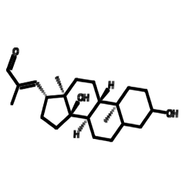 C/C(C=O)=C\[C@H]1CC[C@@]2(O)[C@@H]3CCC4CC(O)CC[C@]4(C)[C@H]3CC[C@]12C